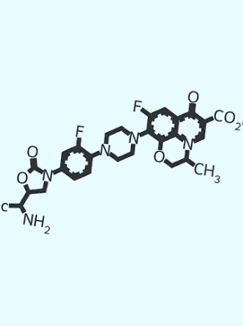 CC(=O)C(N)C1CN(c2ccc(N3CCN(c4c(F)cc5c(=O)c(C(=O)O)cn6c5c4OCC6C)CC3)c(F)c2)C(=O)O1